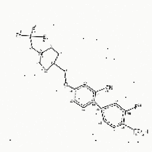 CCC(F)(CC)CN1CCC(COc2ccc(-c3ccc(C(=O)O)c(F)c3)c(C#N)c2)CC1